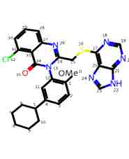 COc1ccc(C2CCCCC2)cc1-n1c(CSc2ncnc3[nH]cnc23)nc2cccc(Cl)c2c1=O